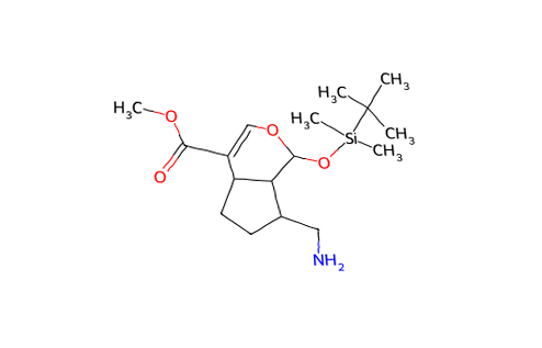 COC(=O)C1=COC(O[Si](C)(C)C(C)(C)C)C2C(CN)CCC12